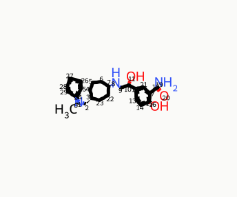 CN(C[C@@H]1CCC[C@H](NCC(O)c2ccc(O)c(C(N)=O)c2)CC1)c1ccccc1